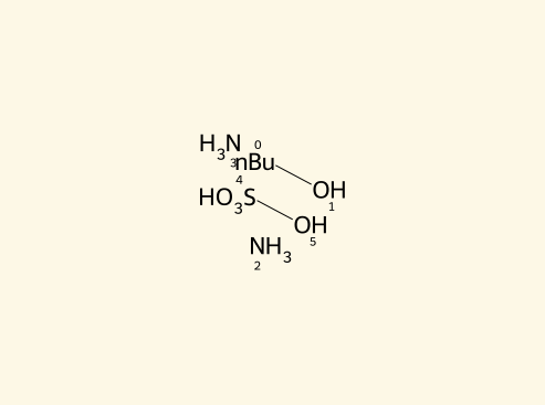 CCCCO.N.N.O=S(=O)(O)O